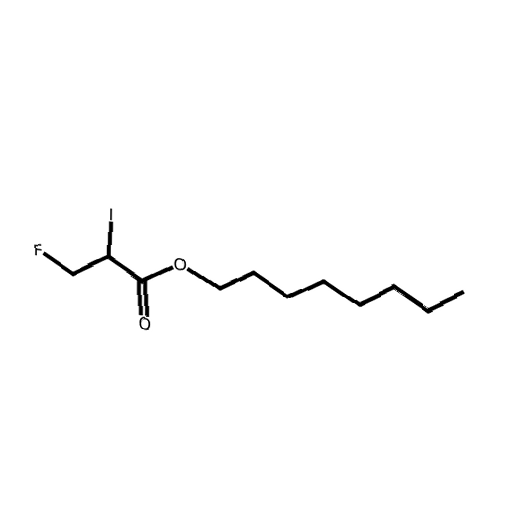 CCCCCCCCOC(=O)C(I)CF